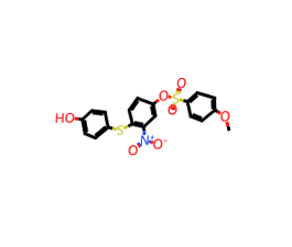 COc1ccc(S(=O)(=O)Oc2ccc(Sc3ccc(O)cc3)c([N+](=O)[O-])c2)cc1